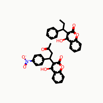 CC(=O)CC(c1ccc([N+](=O)[O-])cc1)c1c(O)c2ccccc2oc1=O.CCC(c1ccccc1)c1c(O)c2ccccc2oc1=O